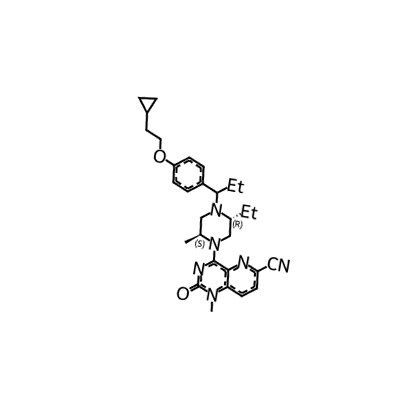 CCC(c1ccc(OCCC2CC2)cc1)N1C[C@H](C)N(c2nc(=O)n(C)c3ccc(C#N)nc23)C[C@H]1CC